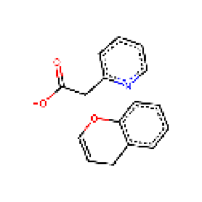 C1=COc2ccccc2C1.O=C(O)Cc1ccccn1